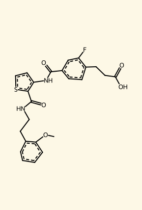 COc1ccccc1CCNC(=O)c1sccc1NC(=O)c1ccc(CCC(=O)O)c(F)c1